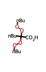 CCCCOOC(CCCC)(OOCCCC)C(=O)O